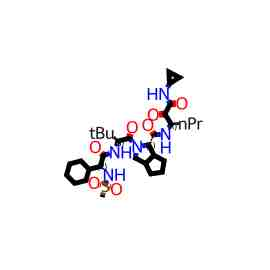 CCC[C@@H](NC(=O)[C@@H]1C2CCCC2CN1C(=O)[C@@H](NC(=O)[C@H](NS(C)(=O)=O)C1CCCCC1)C(C)(C)C)C(=O)C(=O)NC1CC1